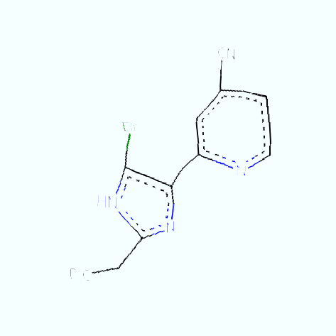 N#Cc1ccnc(-c2nc(CC(F)(F)F)[nH]c2Br)c1